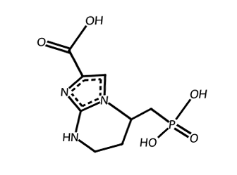 O=C(O)c1cn2c(n1)NCCC2CP(=O)(O)O